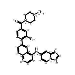 CN1CCN(C(=O)c2ccc(-c3ccc4nccc(Nc5ccn6ncnc6c5)c4c3)c(F)c2)CC1